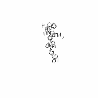 COc1cc(C(=O)N2CCCC2C(=O)N2CCC(CC(=O)O)CC2)ccc1NC(=O)Nc1ccccc1C